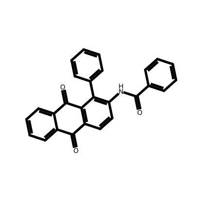 O=C(Nc1ccc2c(c1-c1ccccc1)C(=O)c1ccccc1C2=O)c1ccccc1